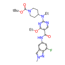 CCOc1nc(N(CC)C2CCN(C(=O)OC(C)(C)C)CC2)ncc1C(=O)Nc1cc(F)c2nn(C)cc2c1